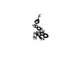 CN(C)C(=O)c1cnc2ccccc2c1C(O)(c1ccc2c(cnn2-c2ccc(F)cc2)c1)C(F)(F)F